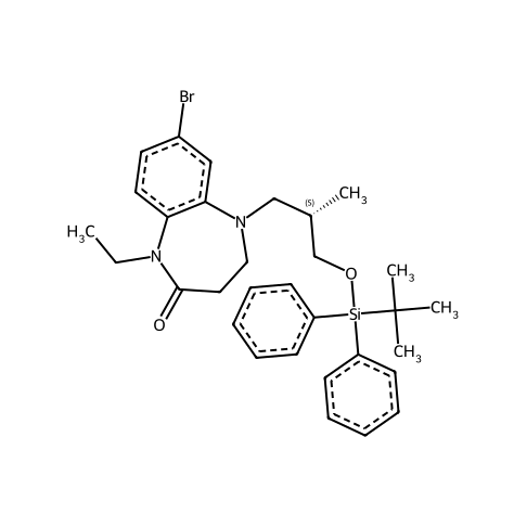 CCN1C(=O)CCN(C[C@H](C)CO[Si](c2ccccc2)(c2ccccc2)C(C)(C)C)c2cc(Br)ccc21